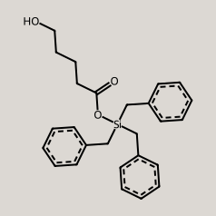 O=C(CCCCO)O[Si](Cc1ccccc1)(Cc1ccccc1)Cc1ccccc1